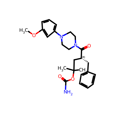 COc1cccc(N2CCN(C(=O)[C@H](Cc3ccccc3)CC(C)(C)OC(N)=O)CC2)c1